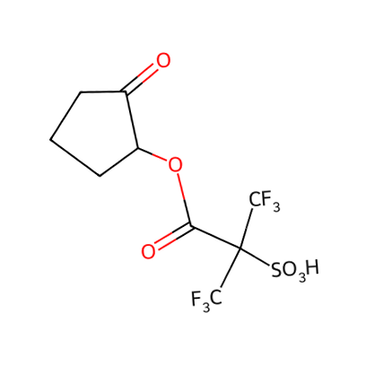 O=C1CCCC1OC(=O)C(C(F)(F)F)(C(F)(F)F)S(=O)(=O)O